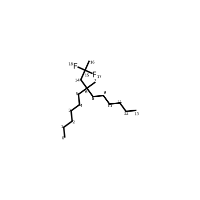 CCCCCCC(C)(CCCCCC)CC(C)(F)F